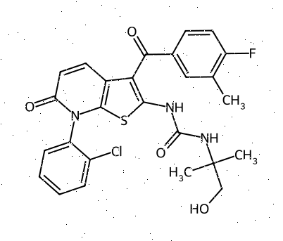 Cc1cc(C(=O)c2c(NC(=O)NC(C)(C)CO)sc3c2ccc(=O)n3-c2ccccc2Cl)ccc1F